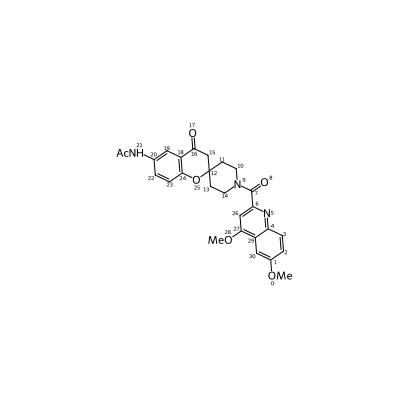 COc1ccc2nc(C(=O)N3CCC4(CC3)CC(=O)c3cc(NC(C)=O)ccc3O4)cc(OC)c2c1